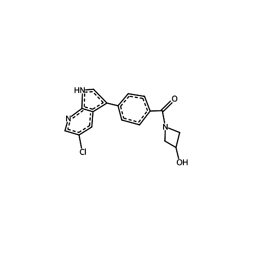 O=C(c1ccc(-c2c[nH]c3ncc(Cl)cc23)cc1)N1CC(O)C1